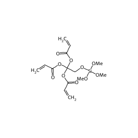 C=CC(=O)OC(CO[Si](OC)(OC)OC)(OC(=O)C=C)OC(=O)C=C